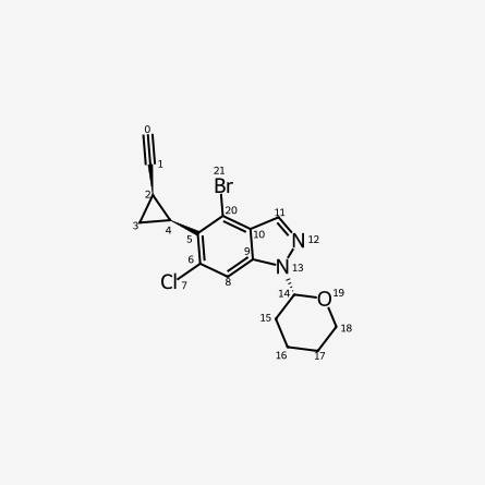 C#C[C@@H]1C[C@@H]1c1c(Cl)cc2c(cnn2[C@H]2CCCCO2)c1Br